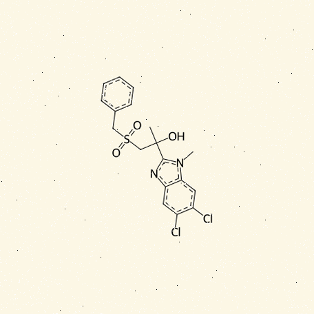 Cn1c(C(C)(O)CS(=O)(=O)Cc2ccccc2)nc2cc(Cl)c(Cl)cc21